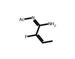 C/C=C(F)\C(N)=N/C(C)=O